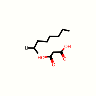 O=C(O)CC(=O)O.[Li][CH](C)CCCCCC